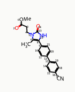 COC(=O)CCn1c(C)c(-c2ccc(-c3ccc(C#N)cc3)cc2)[nH]c1=O